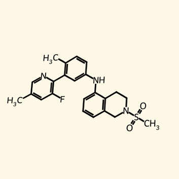 Cc1cnc(-c2cc(Nc3cccc4c3CCN(S(C)(=O)=O)C4)ccc2C)c(F)c1